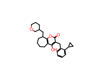 O=c1oc2c(c(O)c1Cc1ccccc1C1CC1)CCCCC2CC1CCCOC1